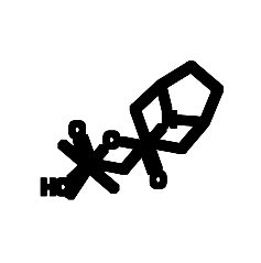 CC(C)(C)OC(=O)N1C2CCC1CC(CC(=O)O)C2